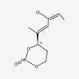 C/C=C(Cl)\C=C(/C)[C@H]1CCO[PH](=O)O1